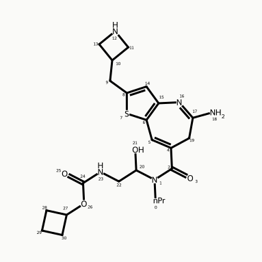 CCCN(C(=O)C1=Cc2sc(CC3CNC3)cc2N=C(N)C1)C(O)CNC(=O)OC1CCC1